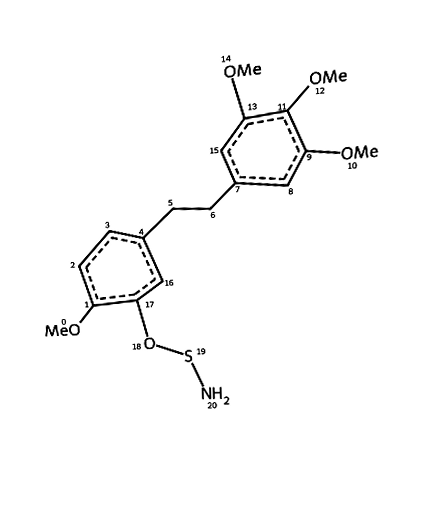 COc1ccc(CCc2cc(OC)c(OC)c(OC)c2)cc1OSN